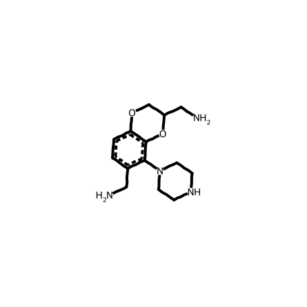 NCc1ccc2c(c1N1CCNCC1)OC(CN)CO2